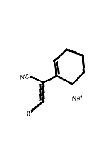 N#CC(=C[O-])C1=CCCCC1.[Na+]